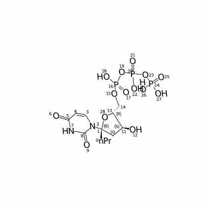 CCC[C@]1(n2ccc(=O)[nH]c2=O)C[C@H](O)[C@@H](COP(=O)(O)OP(=O)(O)OP(=O)(O)O)O1